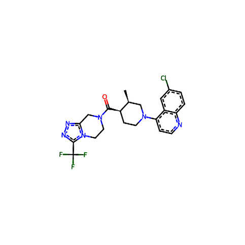 C[C@H]1CN(c2ccnc3ccc(Cl)cc23)CC[C@H]1C(=O)N1CCn2c(nnc2C(F)(F)F)C1